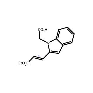 CCOC(=O)/C=C/c1cc2ccccc2n1CC(=O)O